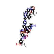 COc1cc(CN2CCN(C3CC(N4CCN(c5ccc(C(=O)NS(=O)(=O)c6ccc(NCC7CCC(C)(O)CC7)c([N+](=O)[O-])c6)c(N6c7cc8cc[nH]c8nc7O[C@H]7COCC[C@@H]76)c5)CC4)C3)[C@H](c3ccccc3C(C)C)C2)cnc1N1CCOCC1